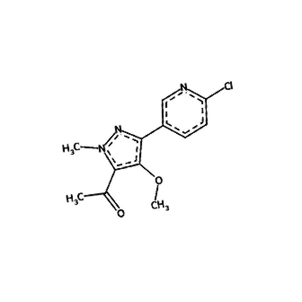 COc1c(-c2ccc(Cl)nc2)nn(C)c1C(C)=O